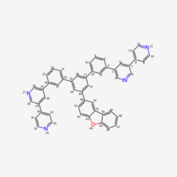 c1cc(-c2cncc(-c3ccncc3)c2)cc(-c2cc(-c3cccc(-c4cncc(-c5ccncc5)c4)c3)cc(-c3ccc4oc5ccccc5c4c3)c2)c1